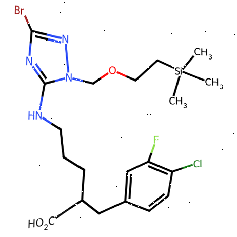 C[Si](C)(C)CCOCn1nc(Br)nc1NCCCC(Cc1ccc(Cl)c(F)c1)C(=O)O